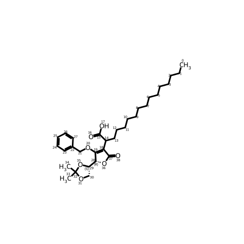 CCCCCCCCCCCCCCC(C(=O)O)C1=C(OCc2ccccc2)[C@@H]([C@@H]2COC(C)(C)O2)OC1=O